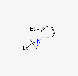 CCc1ccccc1N1CC1(C)CC